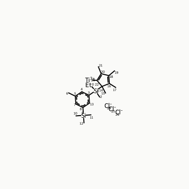 CC[Si](C)(c1cc(C)cc([Si](C)(C)C)c1)C1(C)C(C)=C(C)C(C)=[C]1[Ti+3].[Cl-].[Cl-].[Cl-]